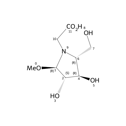 CO[C@@H]1[C@@H](O)[C@H](O)[C@@H](CO)N1CC(=O)O